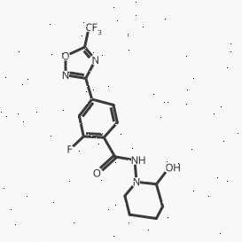 O=C(NN1CCCCC1O)c1ccc(-c2noc(C(F)(F)F)n2)cc1F